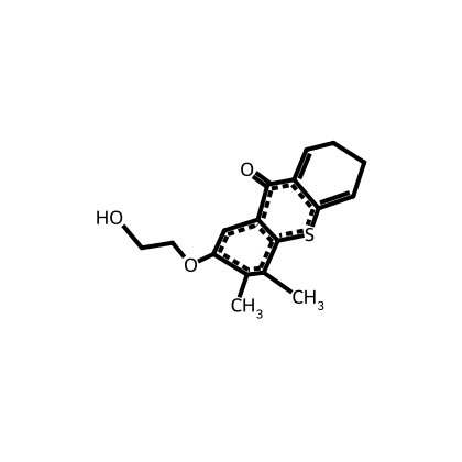 Cc1c(OCCO)cc2c(=O)c3c(sc2c1C)=CCCC=3